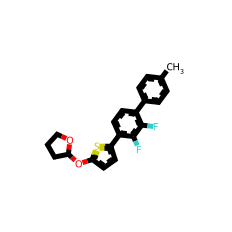 Cc1ccc(-c2ccc(-c3ccc(OC4CCCO4)s3)c(F)c2F)cc1